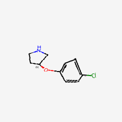 Clc1ccc(O[C@H]2CCNC2)cc1